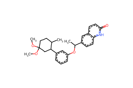 COC1(OC)CCC(C)C(c2cccc(OC(C)c3ccc4[nH]c(=O)ccc4c3)c2)C1